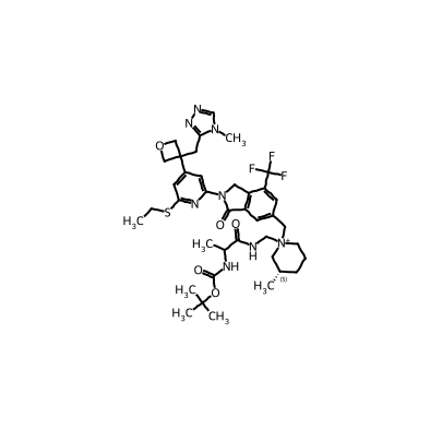 CCSc1cc(C2(Cc3nncn3C)COC2)cc(N2Cc3c(cc(C[N+]4(CNC(=O)C(C)NC(=O)OC(C)(C)C)CCC[C@H](C)C4)cc3C(F)(F)F)C2=O)n1